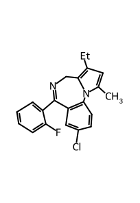 CCc1cc(C)n2c1CN=C(c1ccccc1F)c1cc(Cl)ccc1-2